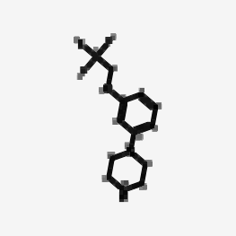 FC(F)(F)COc1cccc(N2CCNCC2)c1